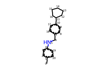 Cc1ccc(NCc2ccc(C3CCCCC3)cc2)cc1